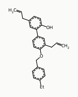 C=CCc1ccc(O)c(-c2ccc(OCc3ccc(CC)cc3)c(CC=C)c2)c1